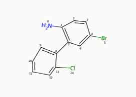 Nc1ccc(Br)cc1-c1ccccc1Cl